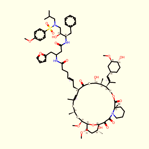 COc1ccc(S(=O)(=O)N(CC(C)C)C[C@H](O)[C@@H](Cc2ccccc2)NC(=O)CC(Cc2ccco2)NC(=O)CC/C=C/C[C@@H]2/C=C(\C)C[C@H](C)C[C@H](OC)[C@H]3O[C@@](O)(C(=O)C(=O)N4CCCC[C@H]4C(=O)OC[C@H](/C(C)=C/[C@@H]4CC[C@@H](O)[C@H](OC)C4)[C@H](C)[C@@H](O)CC2=O)[C@H](C)C[C@@H]3OC)cc1